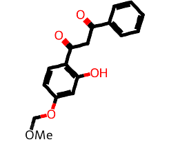 COCOc1ccc(C(=O)CC(=O)c2ccccc2)c(O)c1